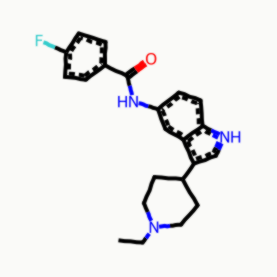 CCN1CCC(c2c[nH]c3ccc(NC(=O)c4ccc(F)cc4)cc23)CC1